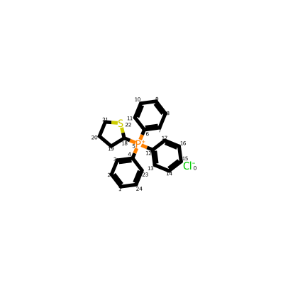 [Cl-].c1ccc([P+](c2ccccc2)(c2ccccc2)C2CCCS2)cc1